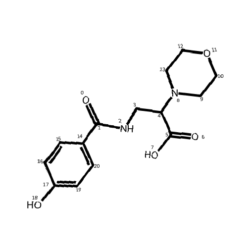 O=C(NCC(C(=O)O)N1CCOCC1)c1ccc(O)cc1